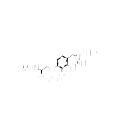 CCCCOc1c(OCC(=O)NC)ccc(CN(O)C=O)c1Cl